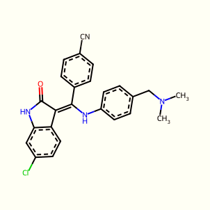 CN(C)Cc1ccc(NC(=C2C(=O)Nc3cc(Cl)ccc32)c2ccc(C#N)cc2)cc1